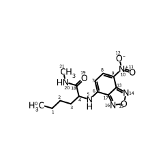 CCCCC(Nc1ccc([N+](=O)[O-])c2nonc12)C(=O)NC